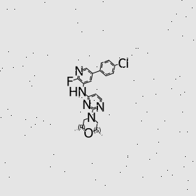 C[C@@H]1CN(c2nccc(Nc3cc(-c4ccc(Cl)cc4)cnc3F)n2)C[C@H](C)O1